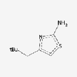 CC(C)(C)Cc1csc(N)n1